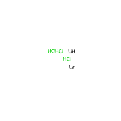 Cl.Cl.Cl.[La].[LiH]